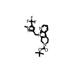 Cn1nc(Cn2c3c(c4cccnc42)CCN(C(=O)OC(C)(C)C)C3)cc1C(F)(F)F